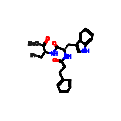 COC(=O)[C@H](CC(C)C)NC(=O)[C@H](Cc1c[nH]c2ccccc12)NC(=O)CCc1ccccc1